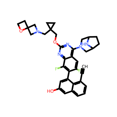 C#Cc1cccc2cc(O)cc(-c3c(F)cc4c(N5CC6CCC(C5)N6)nc(OCC5(CN6CC7(CCO7)C6)CC5)nc4c3F)c12